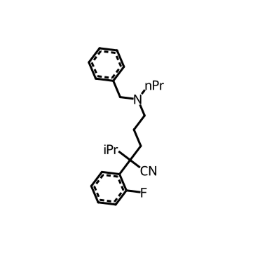 CCCN(CCCC(C#N)(c1ccccc1F)C(C)C)Cc1ccccc1